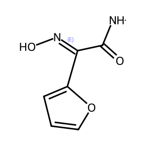 [NH]C(=O)/C(=N/O)c1ccco1